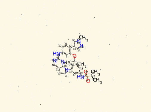 CC(C)Oc1cc(Nc2ncc3ccn(-c4cccc(NS(=O)(=O)C(C)C)c4)c3n2)ccc1-c1cnn(C)c1